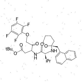 CC(C)[C@H](N[C@@]1(Cc2cccc3ccccc23)CCCCO1)C(=O)NC(CC(=O)OC(C)(C)C)C(=O)COc1c(F)c(F)cc(F)c1F